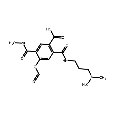 CNC(=O)c1cc(C(=O)O)c(C(=O)NCCCN(C)C)cc1OC=O